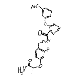 C[C@@H](Oc1ccc(CNC(=O)c2cccnc2Oc2cccc(C#N)c2)c(F)c1)C(N)=O